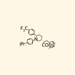 CC(C)c1ccc(N2C[C@@H](C(Cc3ccccc3)C(=O)O)CC[C@@H]2c2ccc(C(F)(F)F)cc2)cc1